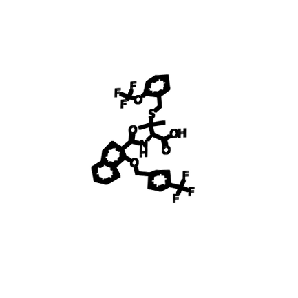 CC(C)(SCc1ccccc1OC(F)(F)F)[C@H](NC(=O)c1ccc2ccccc2c1OCc1ccc(C(F)(F)F)cc1)C(=O)O